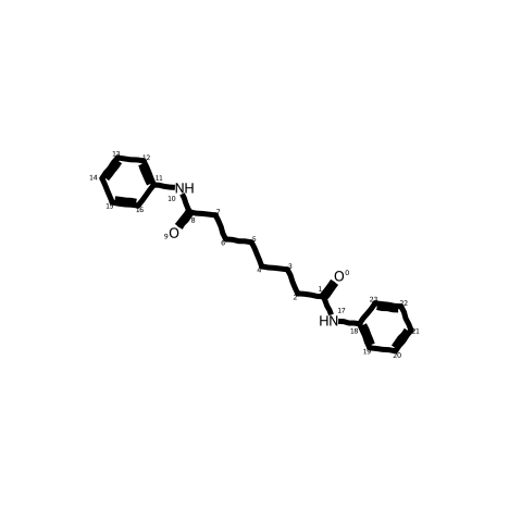 O=C(CCCCCCC(=O)Nc1ccccc1)Nc1ccccc1